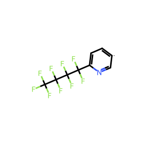 FC(F)(F)C(F)(F)C(F)(F)C(F)(F)c1cc[c]cn1